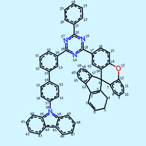 C1=CC2=C(CC1)C1(c3ccccc3Oc3ccc(-c4nc(-c5ccccc5)nc(-c5cccc(-c6ccc(-n7c8ccccc8c8ccccc87)cc6)c5)n4)cc31)c1ccccc12